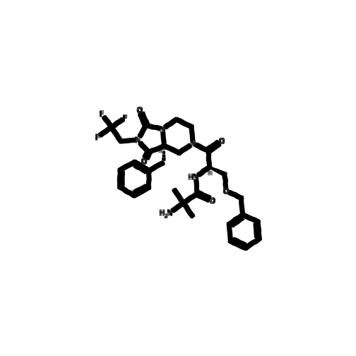 CC(C)(N)C(=O)N[C@H](COCc1ccccc1)C(=O)N1CCN2C(=O)N(CC(F)(F)F)C(=O)[C@]2(Cc2ccccc2)C1